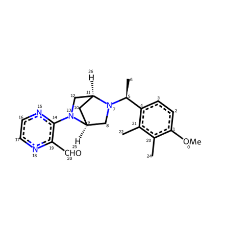 COc1ccc([C@H](C)N2C[C@@H]3C[C@H]2CN3c2nccnc2C=O)c(C)c1C